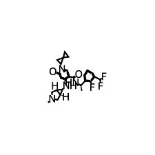 C[C@@H](NC(=O)c1cn([C@H]2CC23CC3)c(=O)cc1NC1[C@H]2CN(C)C[C@@H]12)c1cccc(C(F)F)c1F